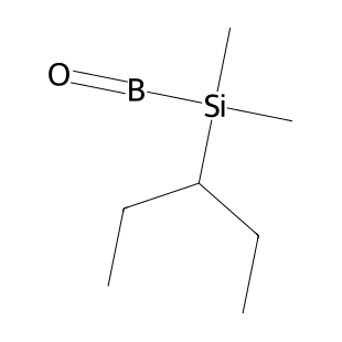 CCC(CC)[Si](C)(C)B=O